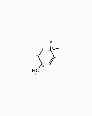 CC1(C)C=CC(O)CC1